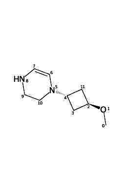 CO[C@H]1C[C@H](N2C=CNCC2)C1